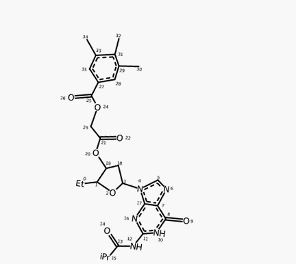 CCC1OC(n2cnc3c(=O)[nH]c(NC(=O)C(C)C)nc32)CC1OC(=O)COC(=O)c1cc(C)c(C)c(C)c1